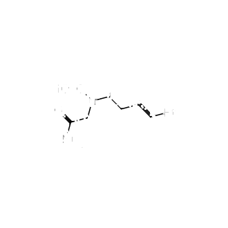 CCC=CCCN(CC(N)=O)C(=O)O